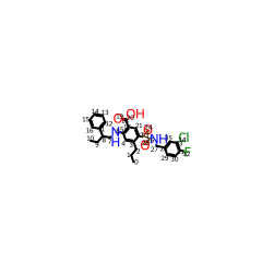 CCCc1cc(NCC(CC)c2ccccc2)c(C(=O)O)cc1S(=O)(=O)NCc1ccc(F)c(Cl)c1